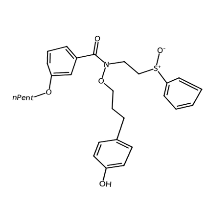 CCCCCOc1cccc(C(=O)N(CC[S+]([O-])c2ccccc2)OCCCc2ccc(O)cc2)c1